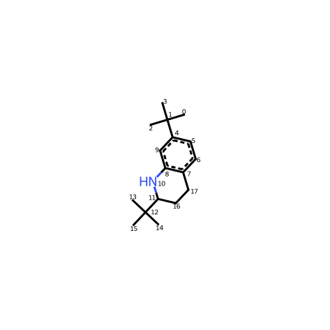 CC(C)(C)c1ccc2c(c1)NC(C(C)(C)C)CC2